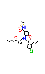 CCCCC(OC)C1CCC1CN1CC(c2ccc(Cl)cc2CCC)COc2ccc(C(=O)N[S+]([O-])C(C)C)cc21